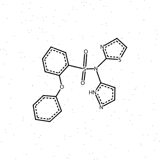 O=S(=O)(c1ccccc1Oc1ccccc1)N(c1ccn[nH]1)c1nccs1